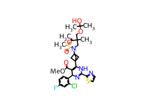 C=CC(C)(COC(C)(C)O)CN(C12CC(C3=C(C(=O)OC)C(c4ccc(F)cc4Cl)N=C(c4nccs4)N3)(C1)C2)S(C)(=O)=O